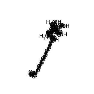 CC1(C)C=C(CSOOO)c2cc3c(c4c2N1CCC4)Oc1c2c4c(cc1=C3c1ccc(S(=O)(=O)O)cc1S(=O)(=O)O)C(CS(=O)(=O)NCCOCCOCCOCCOCCOCCOCCOCCOCCC(=O)ON1C(=O)CCC1=O)=CC(C)(C)[N+]=4CCC2